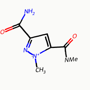 CNC(=O)C1=CC(C(N)=O)=N[N+]1C